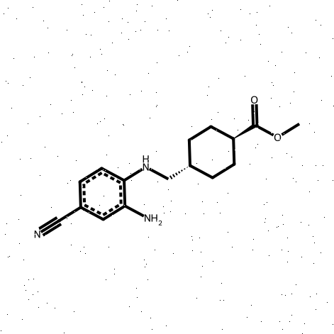 COC(=O)[C@H]1CC[C@H](CNc2ccc(C#N)cc2N)CC1